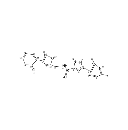 Cc1ccc(-n2cc(C(=O)NCc3cc(-c4ccccc4Cl)no3)nn2)c(C)n1